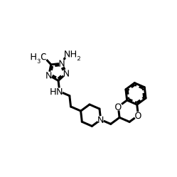 Cc1nc(NCCC2CCN(CC3COc4ccccc4O3)CC2)nn1N